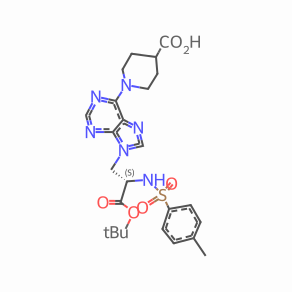 Cc1ccc(S(=O)(=O)N[C@@H](Cn2cnc3c(N4CCC(C(=O)O)CC4)ncnc32)C(=O)OC(C)(C)C)cc1